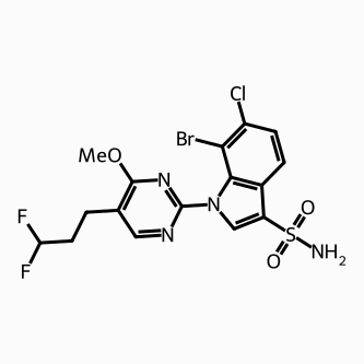 COc1nc(-n2cc(S(N)(=O)=O)c3ccc(Cl)c(Br)c32)ncc1CCC(F)F